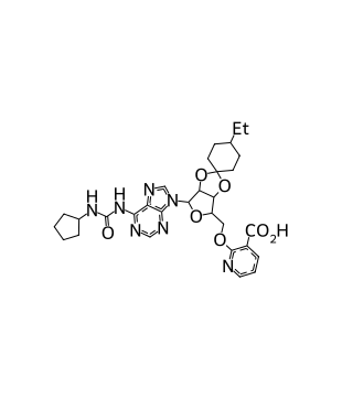 CCC1CCC2(CC1)OC1C(COc3ncccc3C(=O)O)OC(n3cnc4c(NC(=O)NC5CCCC5)ncnc43)C1O2